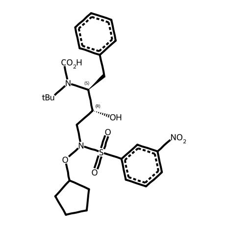 CC(C)(C)N(C(=O)O)[C@@H](Cc1ccccc1)[C@H](O)CN(OC1CCCC1)S(=O)(=O)c1cccc([N+](=O)[O-])c1